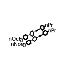 CCCCCCCCCOc1ccc([C@H]2CC[C@H](C#Cc3ccc(CCC)cc3)CC2)cc1.CCCCCCCCOc1ccc([C@H]2CC[C@H](C#Cc3ccc(CCC)cc3)CC2)cc1